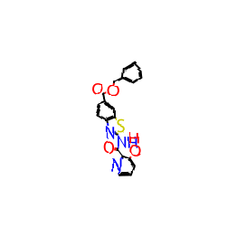 O=C(OCc1ccccc1)c1ccc2nc(NC(=O)c3ncccc3O)sc2c1